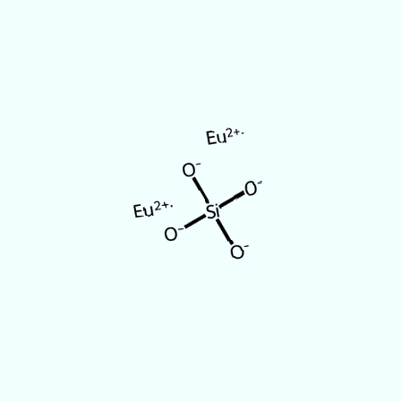 [Eu+2].[Eu+2].[O-][Si]([O-])([O-])[O-]